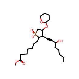 CCCCCC(O)C#CC1C(OC2CCCCO2)CS(=O)(=O)C1CCCCCCC(=O)OC